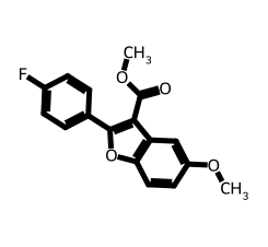 COC(=O)c1c(-c2ccc(F)cc2)oc2ccc(OC)cc12